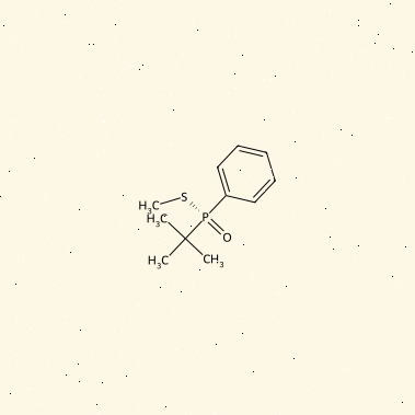 CS[P@@](=O)(c1ccccc1)C(C)(C)C